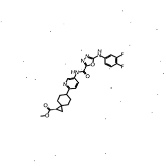 COC(=O)[C@@H]1CC12CCC(c1ccc(NC(=O)c3nnc(Nc4ccc(F)c(F)c4)o3)cn1)CC2